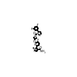 Cn1ncc(C(N)=O)c1-c1ccc(F)c(OC2CN(C(=O)N3N=CCC3c3cc(F)cc(F)c3)C2)n1